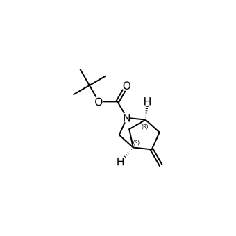 C=C1C[C@H]2C[C@@H]1CN2C(=O)OC(C)(C)C